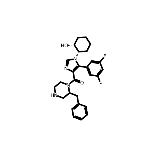 O=C(c1ncn([C@H]2CCCC[C@H]2O)c1-c1cc(F)cc(F)c1)N1CCNCC1Cc1ccccc1